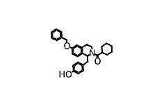 O=C(C1CCCCC1)N1CCc2cc(OCc3ccccc3)ccc2C1Cc1ccc(O)cc1